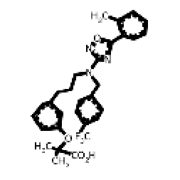 Cc1ccccc1-c1nc(N(CCCc2cccc(OC(C)(C)C(=O)O)c2)Cc2ccc(C(F)(F)F)cc2)no1